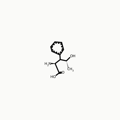 C[C@@H](O)C(c1ccccc1)[C@H](N)C(=O)O